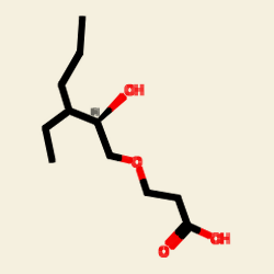 CCCC(CC)[C@@H](O)COCCC(=O)O